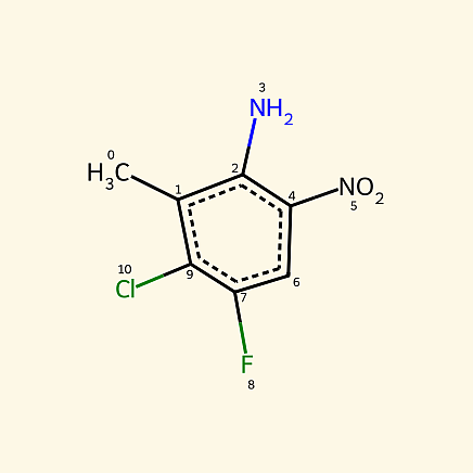 Cc1c(N)c([N+](=O)[O-])cc(F)c1Cl